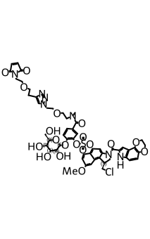 COc1ccc2c(OS(=O)(=O)Oc3cc(C(=O)N(C)CCOCCn4cc(CCOCCN5C(=O)C=CC5=O)nn4)ccc3O[C@@H]3O[C@H](CO)[C@H](O)[C@H](O)[C@H]3O)cc3c(c2c1)[C@H](CCl)CN3C(=O)c1cc2c3c(ccc2[nH]1)OCCO3